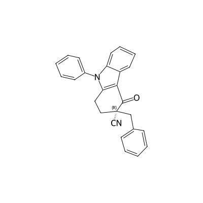 N#C[C@]1(Cc2ccccc2)CCc2c(c3ccccc3n2-c2ccccc2)C1=O